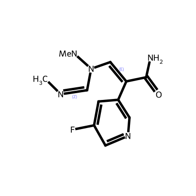 C/N=C\N(/C=C(/C(N)=O)c1cncc(F)c1)NC